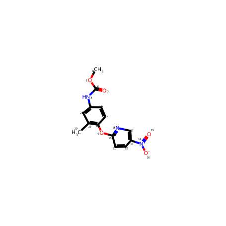 COC(=O)Nc1ccc(Oc2ccc([N+](=O)[O-])cn2)c(C)c1